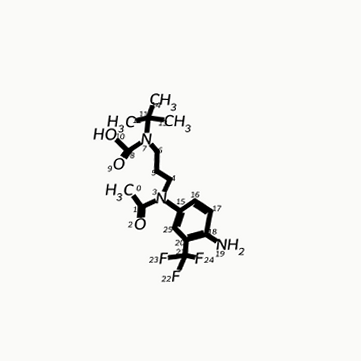 CC(=O)N(CCCN(C(=O)O)C(C)(C)C)c1ccc(N)c(C(F)(F)F)c1